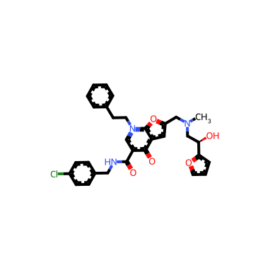 CN(Cc1cc2c(=O)c(C(=O)NCc3ccc(Cl)cc3)cn(CCc3ccccc3)c2o1)C[C@@H](O)c1ccco1